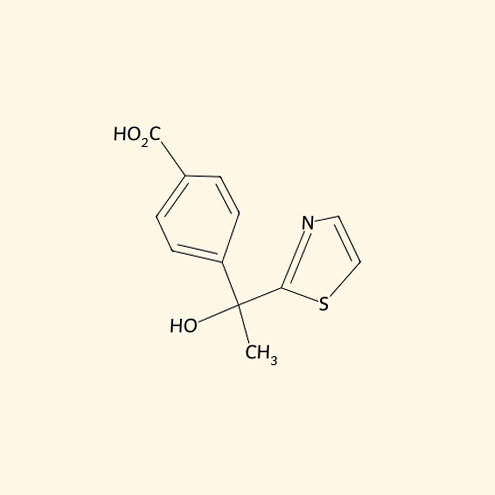 CC(O)(c1ccc(C(=O)O)cc1)c1nccs1